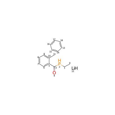 CCPC(=O)c1ccccc1C.[LiH].c1ccccc1